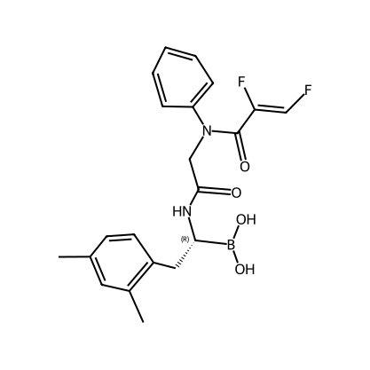 Cc1ccc(C[C@H](NC(=O)CN(C(=O)C(F)=CF)c2ccccc2)B(O)O)c(C)c1